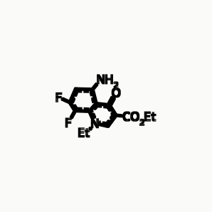 CCOC(=O)c1cn(CC)c2c(F)c(F)cc(N)c2c1=O